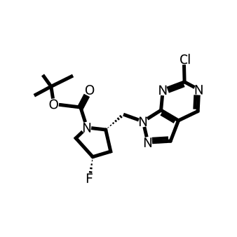 CC(C)(C)OC(=O)N1C[C@@H](F)C[C@H]1Cn1ncc2cnc(Cl)nc21